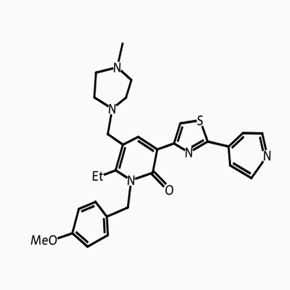 CCc1c(CN2CCN(C)CC2)cc(-c2csc(-c3ccncc3)n2)c(=O)n1Cc1ccc(OC)cc1